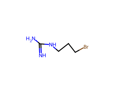 N=C(N)NCCCBr